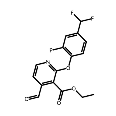 CCOC(=O)c1c(C=O)ccnc1Oc1ccc(C(F)F)cc1F